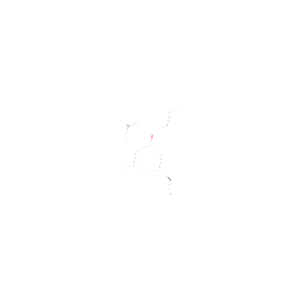 CCCO[C@H]1[C@H](O)[C@@H](CO)OC(O)[C@@H]1NC(C)=O